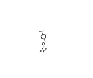 CC(C)c1ccc(COCCC(C)(F)F)cc1